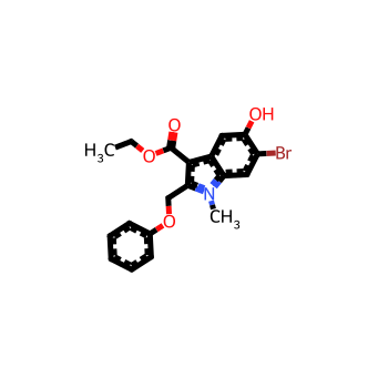 CCOC(=O)c1c(COc2ccccc2)n(C)c2cc(Br)c(O)cc12